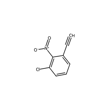 C#Cc1cccc(Cl)c1[N+](=O)[O-]